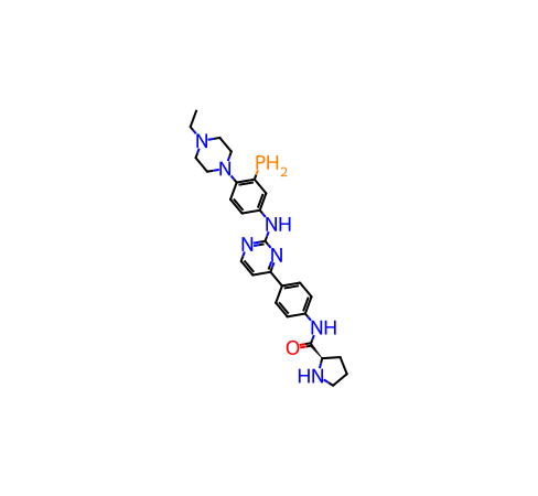 CCN1CCN(c2ccc(Nc3nccc(-c4ccc(NC(=O)[C@H]5CCCN5)cc4)n3)cc2P)CC1